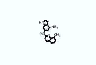 Cc1cccc2cnc(Nc3cc(N)c4cc[nH]c4c3)nc12